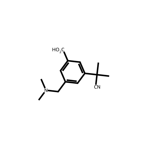 CN(C)Cc1cc(C(=O)O)cc(C(C)(C)C#N)c1